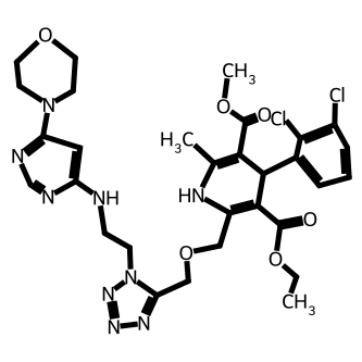 CCOC(=O)C1=C(COCc2nnnn2CCNc2cc(N3CCOCC3)ncn2)NC(C)=C(C(=O)OC)C1c1cccc(Cl)c1Cl